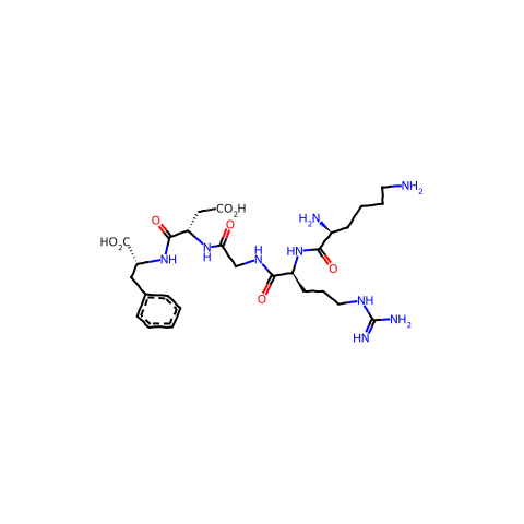 N=C(N)NCCC[C@H](NC(=O)[C@@H](N)CCCCN)C(=O)NCC(=O)N[C@@H](CC(=O)O)C(=O)N[C@H](Cc1ccccc1)C(=O)O